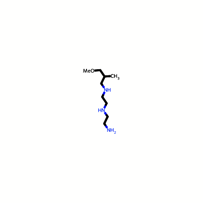 COCC(C)CNCCNCCN